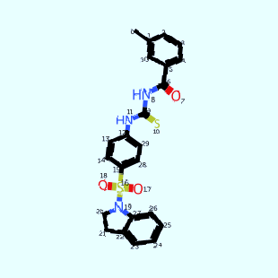 Cc1cccc(C(=O)NC(=S)Nc2ccc(S(=O)(=O)N3CCc4ccccc43)cc2)c1